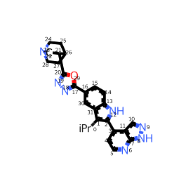 CC(C)c1c(-c2ccnc3[nH]ncc23)[nH]c2ccc(-c3nnc(C4CN5CCC4CC5)o3)cc12